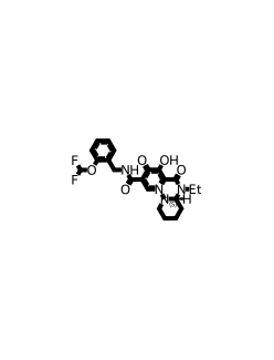 CCN1C(=O)c2c(O)c(=O)c(C(=O)NCc3ccccc3OC(F)F)cn2N2CCCC[C@@H]12